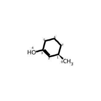 C[C@H]1C=C(O)CCC1